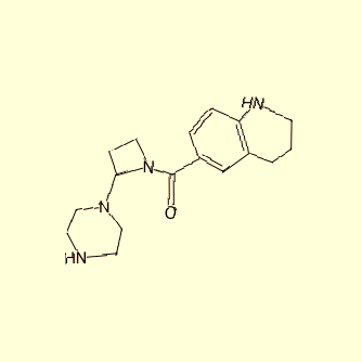 O=C(c1ccc2c(c1)CCCN2)N1CCC1N1CCNCC1